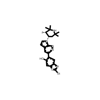 CCc1nc2cc(-c3cc4ccn([C@H]5CC(C)(C)NC(C)(C)[C@H]5F)c4nn3)c(O)cc2o1